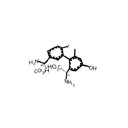 Cc1cc(O)cc([C@H](N)C(=O)O)c1-c1cc([C@@H](N)C(=O)O)ccc1I